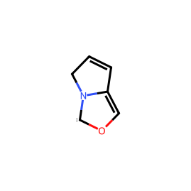 [C]1OC=C2C=CCN12